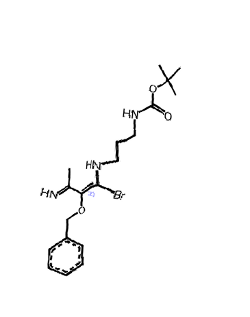 CC(=N)/C(OCc1ccccc1)=C(/Br)NCCCNC(=O)OC(C)(C)C